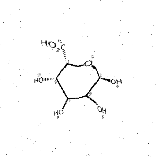 O=C(O)[C@@H]1O[C@@H](O)C(O)C(O)[C@@H]1O